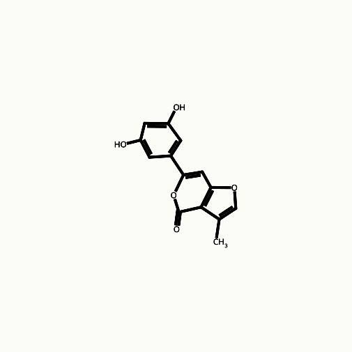 Cc1coc2cc(-c3cc(O)cc(O)c3)oc(=O)c12